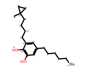 CC(C)(C)CCCCCc1cc(O)c(O)c(CCCCC2(C)CC2)c1